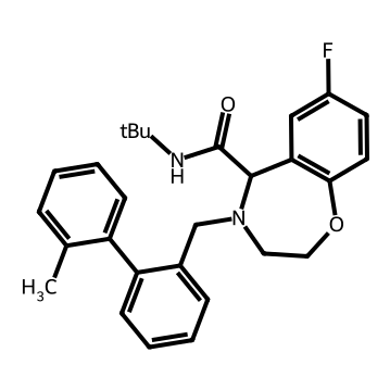 Cc1ccccc1-c1ccccc1CN1CCOc2ccc(F)cc2C1C(=O)NC(C)(C)C